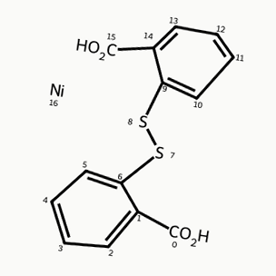 O=C(O)c1ccccc1SSc1ccccc1C(=O)O.[Ni]